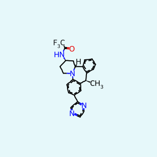 C[C@@H]1c2ccccc2[C@H]2C[C@H](NC(=O)C(F)(F)F)CCN2c2ccc(-c3cnccn3)cc21